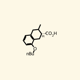 CCCCOc1cccc2c1C[C@@H](C(=O)O)C(C)C2